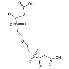 O=C(O)CC(Br)S(=O)(=O)CCOCCS(=O)(=O)C(Br)CC(=O)O